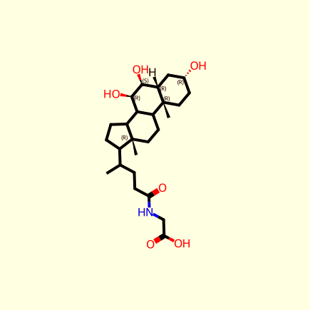 CC(CCC(=O)NCC(=O)O)C1CCC2C3C(CC[C@]12C)[C@@]1(C)CC[C@@H](O)C[C@H]1[C@H](O)[C@@H]3O